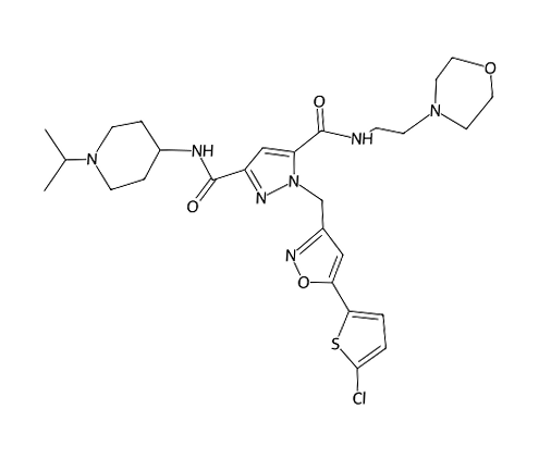 CC(C)N1CCC(NC(=O)c2cc(C(=O)NCCN3CCOCC3)n(Cc3cc(-c4ccc(Cl)s4)on3)n2)CC1